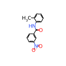 Cc1ccccc1NC(=O)c1cccc([N+](=O)[O-])c1